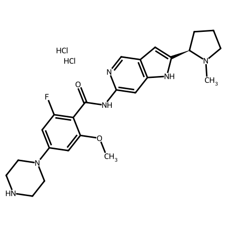 COc1cc(N2CCNCC2)cc(F)c1C(=O)Nc1cc2[nH]c([C@H]3CCCN3C)cc2cn1.Cl.Cl